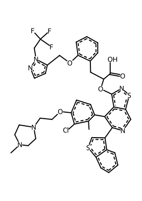 Cc1c(-c2c(-c3csc4ccccc34)ncc3snc(OC(Cc4ccccc4OCc4ccnn4CC(F)(F)F)C(=O)O)c23)ccc(OCCN2CCN(C)CC2)c1Cl